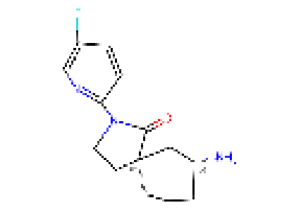 N[C@@H]1CCC[C@@]2(CCN(c3ccc(F)cn3)C2=O)C1